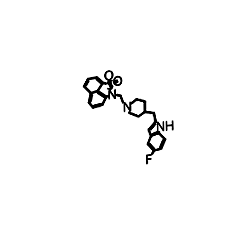 O=S1(=O)c2cccc3cccc(c23)N1CCN1CCC(Cc2cc3cc(F)ccc3[nH]2)CC1